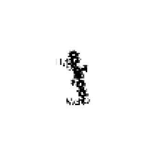 CNC(=O)C1CCN(c2ccc(-c3cc4nc(C(=O)N5CCc6ccccc6[C@H]5C)cc(C5CC5)n4n3)c(F)c2)CC1